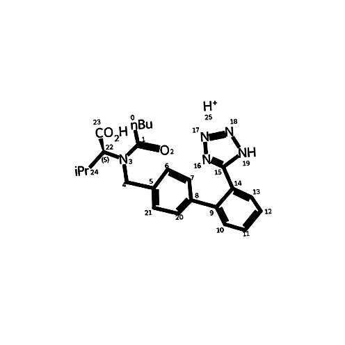 CCCCC(=O)N(Cc1ccc(-c2ccccc2-c2nnn[nH]2)cc1)[C@H](C(=O)O)C(C)C.[H+]